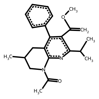 C=C(OC)c1c(C(C)C)nc2c(c1-c1ccccc1)CC(C)CN2C(C)=O